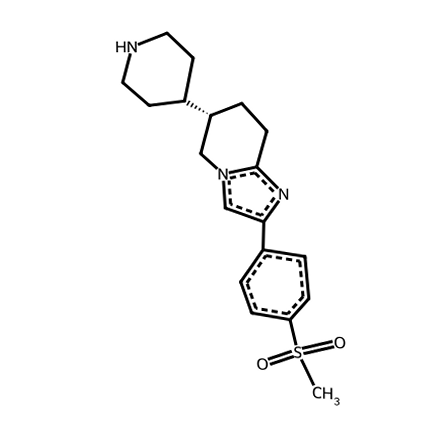 CS(=O)(=O)c1ccc(-c2cn3c(n2)CC[C@@H](C2CCNCC2)C3)cc1